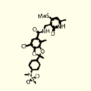 CSc1cc(C)[nH]c(=O)c1CNC(=O)c1cc(Cl)c2c(c1C)OC(C)(C1CCC(N(C)S(C)(=O)=O)CC1)O2